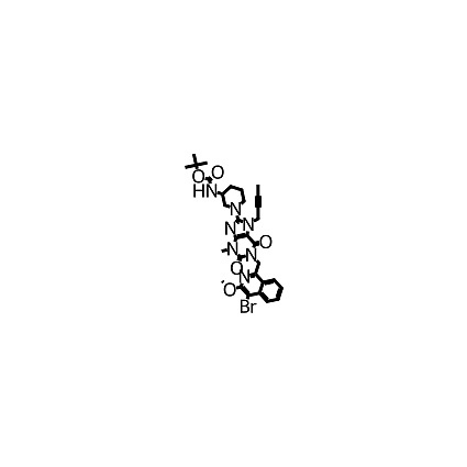 CC#CCn1c(N2CCCC(NC(=O)OC(C)(C)C)C2)nc2c1c(=O)n(Cc1nc(OC)c(Br)c3ccccc13)c(=O)n2C